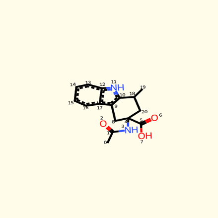 CC(=O)NC1(C(=O)O)Cc2c([nH]c3ccccc23)C(C)C1